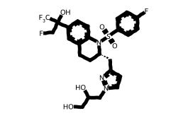 O=S(=O)(c1ccc(F)cc1)N1c2ccc(C(O)(CF)C(F)(F)F)cc2CC[C@H]1Cc1ccn(CC(O)CO)n1